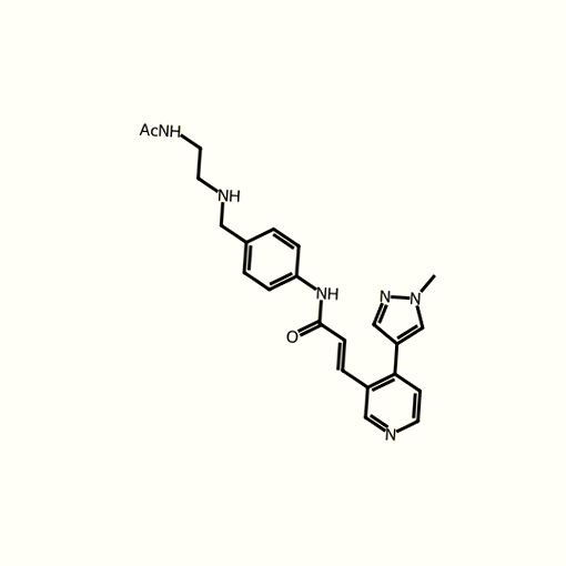 CC(=O)NCCNCc1ccc(NC(=O)/C=C/c2cnccc2-c2cnn(C)c2)cc1